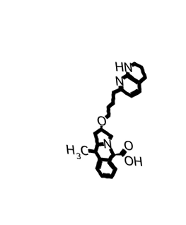 CC1c2ccccc2[C@H](C(=O)O)N2C[C@H](OCCCCc3ccc4c(n3)NCCC4)CC12